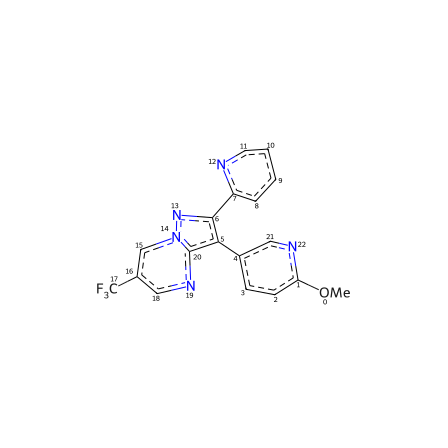 COc1ccc(-c2c(-c3ccccn3)nn3cc(C(F)(F)F)cnc23)cn1